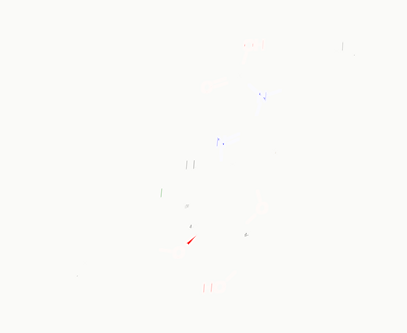 C=CCO[C@H]1[C@H](F)[C@H]2N=C(N(CC=C)C(=O)O)S[C@H]2O[C@@H]1CO